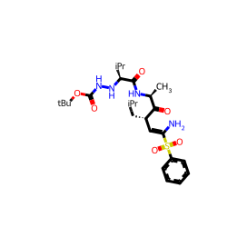 CC(C)C[C@@H](/C=C(\N)S(=O)(=O)c1ccccc1)C(=O)[C@H](C)NC(=O)[C@@H](NNC(=O)OC(C)(C)C)C(C)C